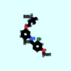 CCCCCOc1ccc(CNc2cc(OCCC(C)(C)C(=O)OCC)ccc2NC(C)=O)c(Cl)c1